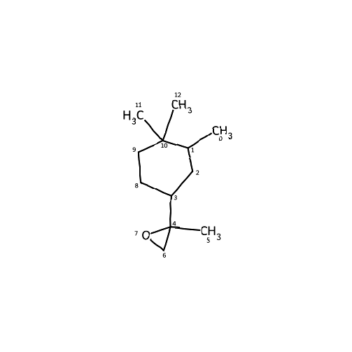 CC1CC(C2(C)CO2)CCC1(C)C